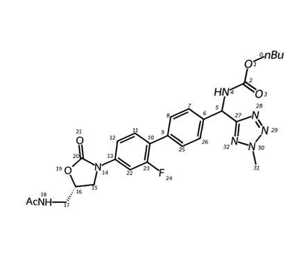 CCCCOC(=O)NC(c1ccc(-c2ccc(N3C[C@H](CNC(C)=O)OC3=O)cc2F)cc1)c1nnn(C)n1